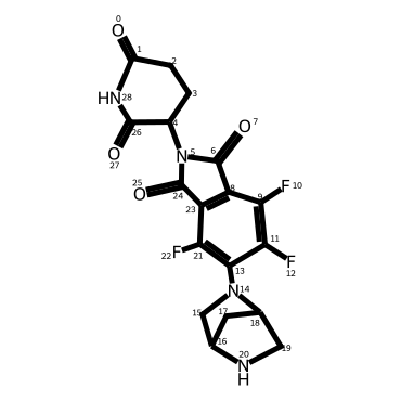 O=C1CCC(N2C(=O)c3c(F)c(F)c(N4CC5CC4CN5)c(F)c3C2=O)C(=O)N1